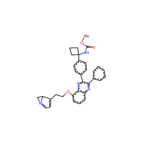 CC(C)(C)OC(=O)NC1(c2ccc(-c3nc4c(OCCC5=CC=[N+]6CC56)cccc4nc3-c3ccccc3)cc2)CCC1